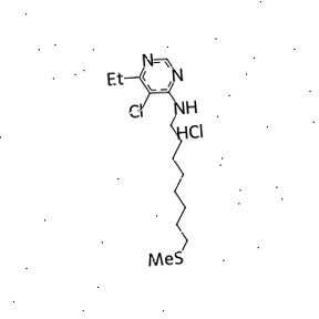 CCc1ncnc(NCCCCCCCCSC)c1Cl.Cl